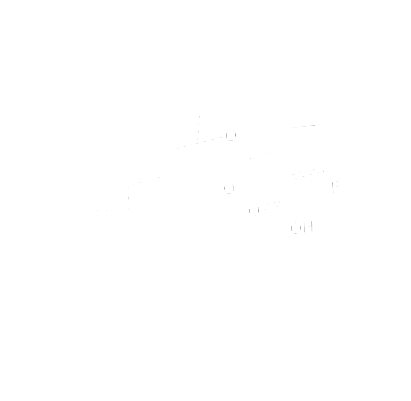 CCCCCC(C)(C)OC(=O)c1cccc(F)c1C(=O)O